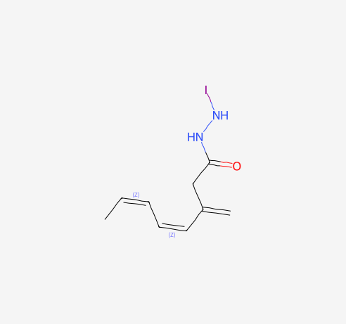 C=C(/C=C\C=C/C)CC(=O)NNI